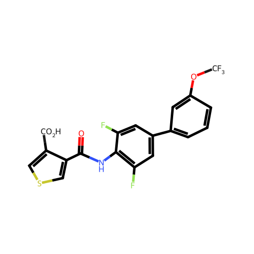 O=C(O)c1cscc1C(=O)Nc1c(F)cc(-c2cccc(OC(F)(F)F)c2)cc1F